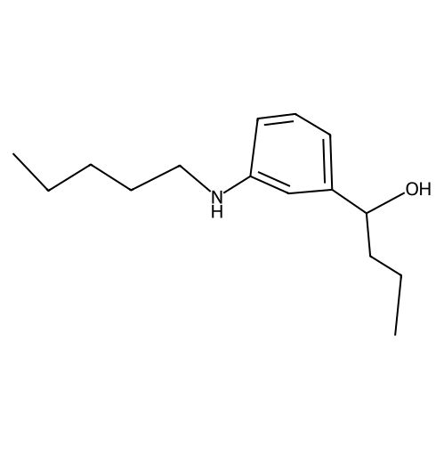 CCCCCNc1cccc(C(O)CCC)c1